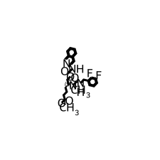 COC(=O)CCC[C@@H](COC(=O)Nc1cc2ccccc2cn1)N(C)C(=O)NCc1cccc(F)c1F